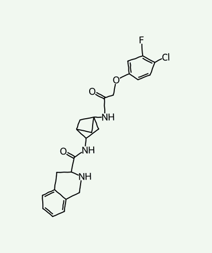 O=C(COc1ccc(Cl)c(F)c1)NC12CC(C1)C(NC(=O)C1Cc3ccccc3CN1)C2